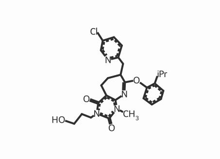 CC(C)c1ccccc1OC1=Nc2c(c(=O)n(CCCO)c(=O)n2C)CCC1Cc1ccc(Cl)cn1